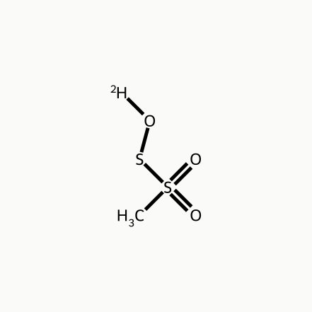 [2H]OSS(C)(=O)=O